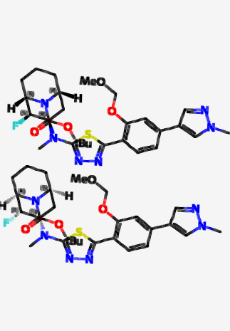 COCOc1cc(-c2cnn(C)c2)ccc1-c1nnc(N(C)[C@@H]2C[C@H]3CCC[C@@H]([C@@H]2F)N3C(=O)OC(C)(C)C)s1.COCOc1cc(-c2cnn(C)c2)ccc1-c1nnc(N(C)[C@H]2C[C@@H]3CCC[C@H]([C@H]2F)N3C(=O)OC(C)(C)C)s1